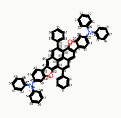 c1ccc(-c2cc3cc4c5ccc(N(c6ccccc6)c6ccccc6)cc5oc4c4c(-c5ccccc5)cc5cc6c7ccc(N(c8ccccc8)c8ccccc8)cc7oc6c2c5c34)cc1